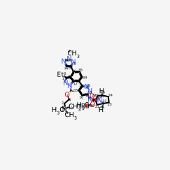 CCc1nn(COCC[Si](C)(C)C)c2c(-c3ccc(N(C)C4C[C@H]5CC[C@@H](C4)N5C(=O)OC(C)(C)C)nn3)ccc(-c3cnn(C)n3)c12